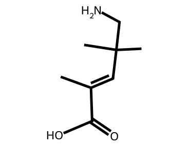 C/C(=C\C(C)(C)CN)C(=O)O